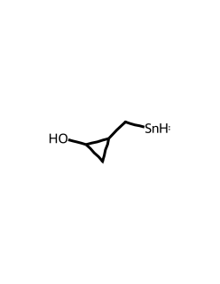 OC1CC1[CH2][SnH]